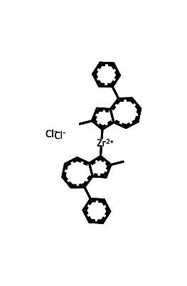 Cc1cc2c(-c3ccccc3)ccccc-2[c]1[Zr+2][c]1c(C)cc2c(-c3ccccc3)ccccc1-2.[Cl-].[Cl-]